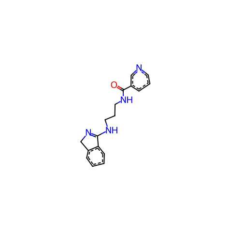 O=C(NCCCNC1=NCc2ccccc21)c1cccnc1